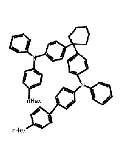 CCCCCCc1ccc(-c2ccc(N(c3ccccc3)c3ccc(C4(c5ccc(N(c6ccccc6)c6ccc(CCCCCC)cc6)cc5)CCCCC4)cc3)cc2)cc1